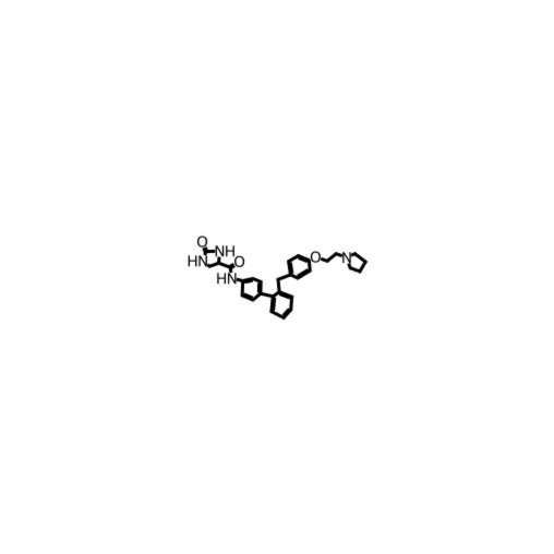 O=C1NCC(C(=O)Nc2ccc(-c3ccccc3Cc3ccc(OCCN4CCCC4)cc3)cc2)N1